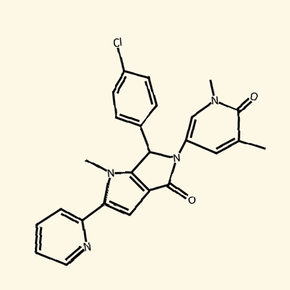 Cc1cc(N2C(=O)c3cc(-c4ccccn4)n(C)c3C2c2ccc(Cl)cc2)cn(C)c1=O